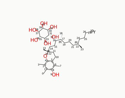 Cc1c(C)c2c(c(C)c1O)CC[C@@](C)(CCC[C@H](C)CCC[C@H](C)CCCC(C)C)O2.O[C@H]1[C@H](O)[C@@H](O)[C@H](O)[C@@H](O)[C@H]1O